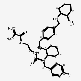 C=C(C)C(=O)OCCNC(=O)N(Cc1ccc(CC)cc1)C1CCCCC1NCc1ccc(CNC2CCCCC2C)cc1